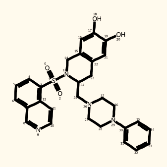 O=S(=O)(c1cccc2cnccc12)N1Cc2cc(O)c(O)cc2CC1CN1CCN(c2ccccc2)CC1